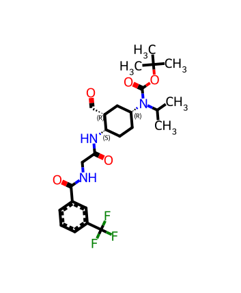 CC(C)N(C(=O)OC(C)(C)C)[C@@H]1CC[C@H](NC(=O)CNC(=O)c2cccc(C(F)(F)F)c2)[C@H](C=O)C1